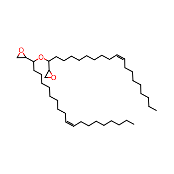 CCCCCCCC/C=C\CCCCCCCCC(OC(CCCCCCCC/C=C\CCCCCCCC)C1CO1)C1CO1